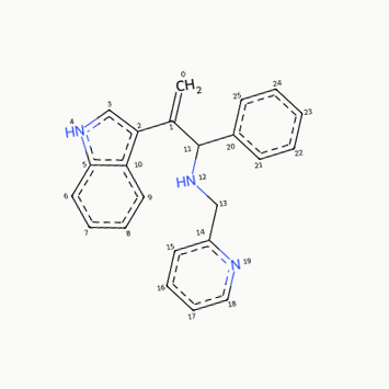 C=C(c1c[nH]c2ccccc12)C(NCc1ccccn1)c1ccccc1